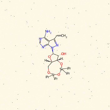 C=Cc1nn([C@@H]2O[C@H]3CO[Si](C(C)C)(C(C)C)O[Si](C(C)C)(C(C)C)O[C@H]3[C@H]2O)c2ncnc(N)c12